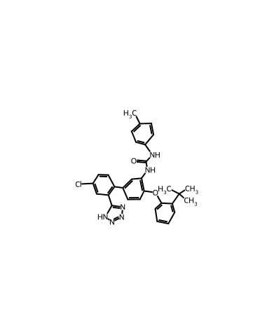 Cc1ccc(NC(=O)Nc2cc(-c3ccc(Cl)cc3-c3nnn[nH]3)ccc2Oc2ccccc2C(C)(C)C)cc1